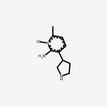 Cc1ccc(C2CCNC2)c(N)[n+]1[O-]